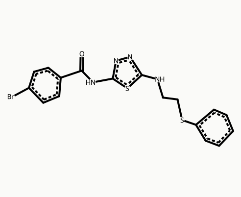 O=C(Nc1nnc(NCCSc2ccccc2)s1)c1ccc(Br)cc1